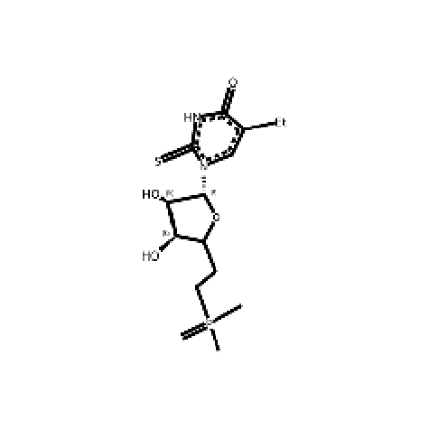 C=P(C)(C)CCC1O[C@@H](n2cc(CC)c(=O)[nH]c2=S)[C@H](O)[C@@H]1O